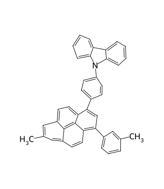 Cc1cccc(-c2cc(-c3ccc(-n4c5ccccc5c5ccccc54)cc3)c3ccc4cc(C)cc5ccc2c3c45)c1